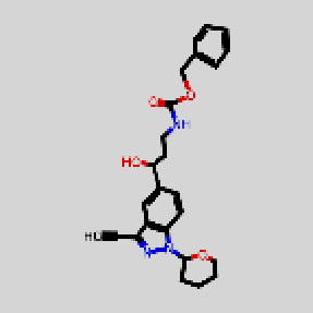 C#Cc1nn(C2CCCCO2)c2ccc(C(O)CCNC(=O)OCc3ccccc3)cc12